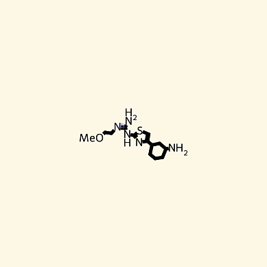 COCC/N=C(/N)Nc1nc(C2CCCC(N)C2)cs1